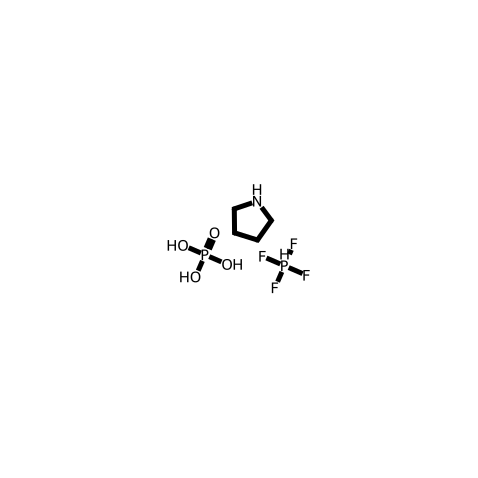 C1CCNC1.F[PH](F)(F)F.O=P(O)(O)O